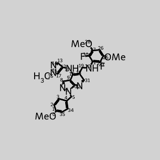 COc1ccc(Cn2ncc3c(Nc4cnn(C)c4)c(CNc4c(F)c(OC)cc(OC)c4F)cnc32)cc1